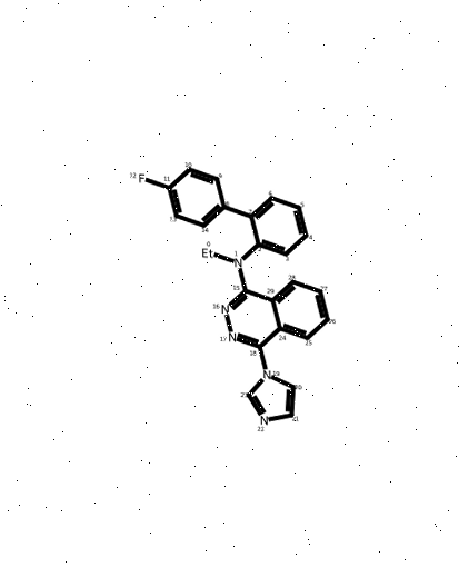 CCN(c1ccccc1-c1ccc(F)cc1)c1nnc(-n2ccnc2)c2ccccc12